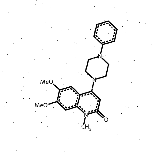 COc1cc2c(N3CCN(c4ccccc4)CC3)cc(=O)n(C)c2cc1OC